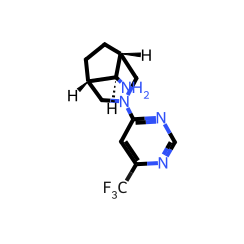 N[C@@H]1[C@@H]2CC[C@H]1CN(c1cc(C(F)(F)F)ncn1)C2